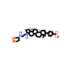 COC(=O)c1ccc(C2=CC[C@@]3(C)C(CC[C@@]4(C)C5CC[C@@]6(NCCNC7CCS(=O)(=O)C7)CCCC6[C@H]5CCC43)C2(C)C)cc1